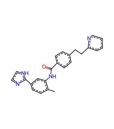 Cc1ccc(-c2ncc[nH]2)cc1NC(=O)c1ccc(CCc2ccccn2)cc1